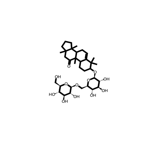 CC1(C)C2=CCC3C(C)(C(=O)CC4(C)CCCC34C)C2CCC1O[C@@H]1O[C@H](CO[C@@H]2O[C@H](CO)[C@@H](O)[C@H](O)[C@H]2O)[C@@H](O)[C@H](O)[C@H]1O